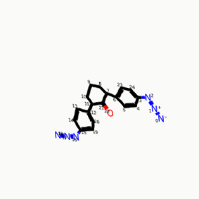 [N-]=[N+]=Nc1ccc(C2CCCC(c3ccc(N=[N+]=[N-])cc3)C2=O)cc1